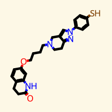 O=C1CCc2ccc(OCCCCN3CCc4nn(-c5ccc(S)cc5)cc4C3)cc2N1